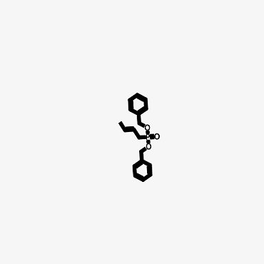 C/C=C/CP(=O)(OCc1ccccc1)OCc1ccccc1